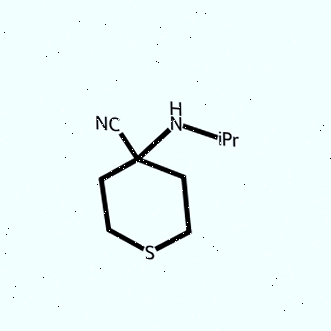 CC(C)NC1(C#N)CCSCC1